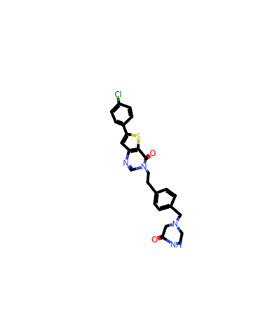 O=C1CN(Cc2ccc(CCn3cnc4cc(-c5ccc(Cl)cc5)sc4c3=O)cc2)CCN1